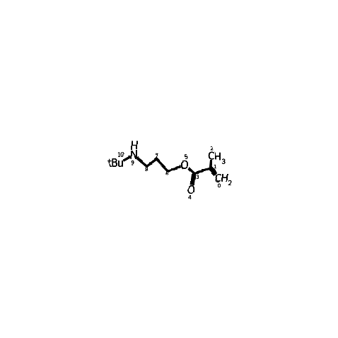 C=C(C)C(=O)OCCCNC(C)(C)C